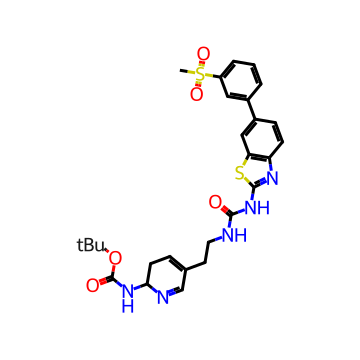 CC(C)(C)OC(=O)NC1CC=C(CCNC(=O)Nc2nc3ccc(-c4cccc(S(C)(=O)=O)c4)cc3s2)C=N1